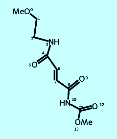 COCCNC(=O)C=CC(=O)NC(=O)OC